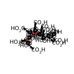 O=C(O)CCSCC1O[C@H](O[C@@H]2C(CSCCC(=O)O)O[C@H](O[C@@H]3C(CSCCC(=O)O)OCC(O)[C@H]3O)C(O)[C@H]2O)[C@@H](O)C(O)[C@@H]1O[C@@H]1OC(CSCCC(=O)O)[C@H](O[C@@H]2OC(CSCCC(=O)O)[C@@H](O[C@@H]3OC(CSCCC(=O)O)[C@@H](O[C@H]4OC(CSCCC(=O)O)[C@@H](O[C@H]5OC(CSCCC(=O)O)[C@@H](O)[C@H](O)C5O)[C@H](O)C4O)C[C@@H]3O)C(O)[C@@H]2O)C(O)[C@@H]1O